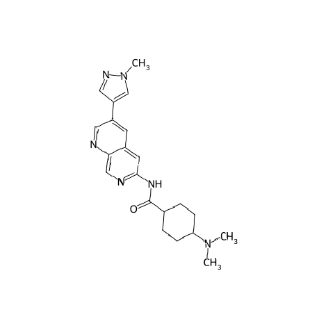 CN(C)C1CCC(C(=O)Nc2cc3cc(-c4cnn(C)c4)cnc3cn2)CC1